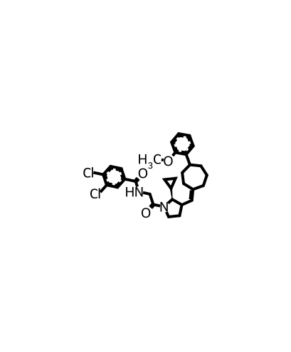 COc1ccccc1C1CCC/C(=C/C2CCN(C(=O)CNC(=O)c3ccc(Cl)c(Cl)c3)[C@H]2C2CC2)CC1